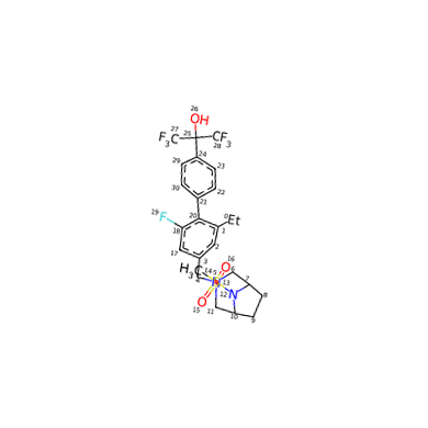 CCc1cc(CN2CC3CCC(C2)N3S(C)(=O)=O)cc(F)c1-c1ccc(C(O)(C(F)(F)F)C(F)(F)F)cc1